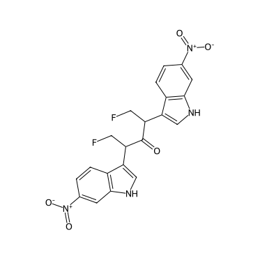 O=C(C(CF)c1c[nH]c2cc([N+](=O)[O-])ccc12)C(CF)c1c[nH]c2cc([N+](=O)[O-])ccc12